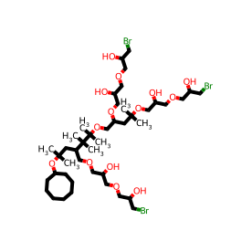 CC(C)(CC(COC(C)(C)C(C)(C)C(COCC(O)COCC(O)CBr)CC(C)(C)OC1CCCCCCC1)OCC(O)COCC(O)CBr)OCC(O)COCC(O)CBr